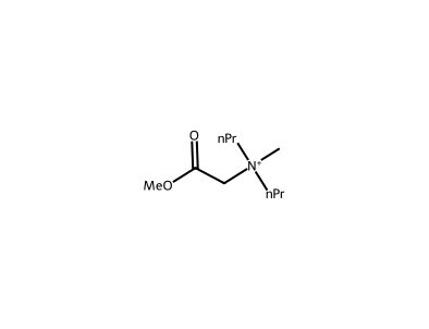 CCC[N+](C)(CCC)CC(=O)OC